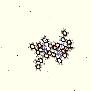 CC1(C)c2ccccc2-c2ccc(N(c3ccc(-c4ccccc4)cc3)c3ccc(-c4cc5c6c(c4)-c4ccccc4N(c4cccc(-c7cc(N(c8ccc(-c9ccccc9)cc8)c8ccc(-c9cc%10c%11c(c9)-c9ccccc9N(c9ccccc9)B%11N(c9ccccc9)c9ccccc9-%10)cc8)c8c(c7)C(C)(C)c7ccccc7-8)c4)B6N(c4ccccc4)c4ccccc4-5)cc3)cc21